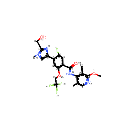 COc1ncc(C)c(NC(=O)c2cc(F)c(-c3cn(C)c(CO)n3)cc2OCC(F)(F)F)c1C